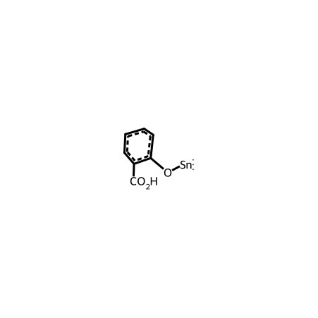 O=C(O)c1ccccc1[O][Sn]